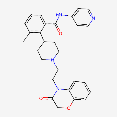 Cc1cccc(C(=O)Nc2ccncc2)c1C1CCN(CCN2C(=O)COc3ccccc32)CC1